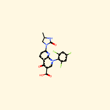 CC1CN(c2ccc3c(=O)c(C(=O)O)cn(-c4c(F)cc(F)cc4F)c3n2)C(=O)N1